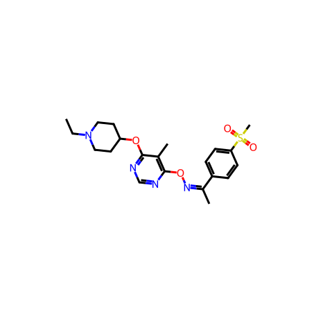 CCN1CCC(Oc2ncnc(ON=C(C)c3ccc(S(C)(=O)=O)cc3)c2C)CC1